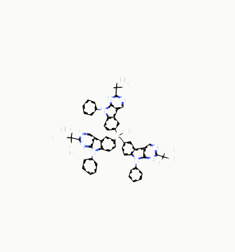 CC(C)(C)c1ncc2c3cc([Si](C)(c4ccc5c(c4)c4cnc(C(C)(C)C)nc4n5-c4ccccc4)c4ccc5c(c4)c4cnc(C(C)(C)C)nc4n5-c4ccccc4)ccc3n(-c3ccccc3)c2n1